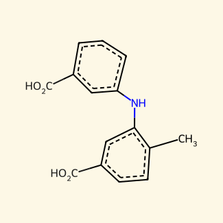 Cc1ccc(C(=O)O)cc1Nc1cccc(C(=O)O)c1